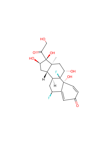 C[C@]12C[C@H](O)[C@@]3(F)[C@@H](C[C@H](F)C4=CC(=O)C=C[C@@]43O)[C@@H]1C[C@@H](O)[C@]2(O)C(=O)CO